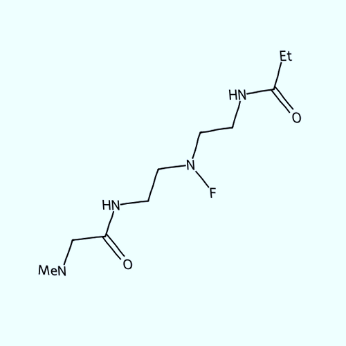 CCC(=O)NCCN(F)CCNC(=O)CNC